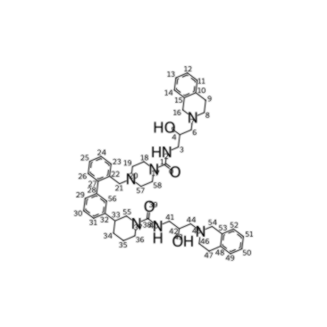 O=C(NCC(O)CN1CCc2ccccc2C1)N1CCN(Cc2ccccc2-c2cccc(C3CCCN(C(=O)NCC(O)CN4CCc5ccccc5C4)C3)c2)CC1